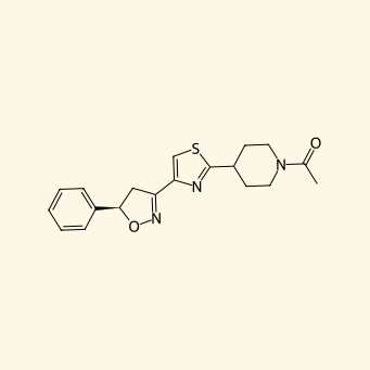 CC(=O)N1CCC(c2nc(C3=NO[C@@H](c4ccccc4)C3)cs2)CC1